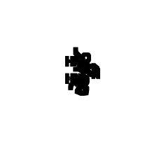 CCCNn1c(C)c(C(=O)N[C@@H](CC)c2ccccc2)c2cnccc2c1=O